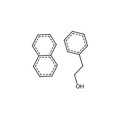 OCCc1ccccc1.c1ccc2ccccc2c1